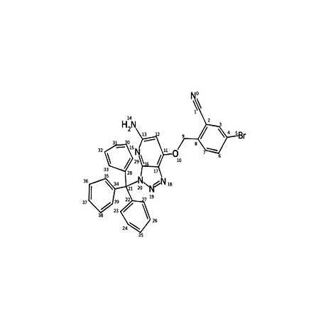 N#Cc1cc(Br)ccc1COc1cc(N)nc2c1nnn2C(c1ccccc1)(c1ccccc1)c1ccccc1